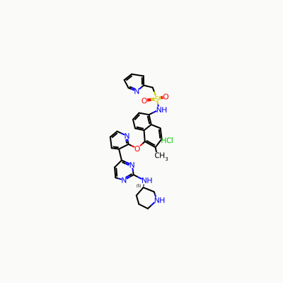 Cc1ccc2c(NS(=O)(=O)Cc3ccccn3)cccc2c1Oc1ncccc1-c1ccnc(N[C@H]2CCCNC2)n1.Cl